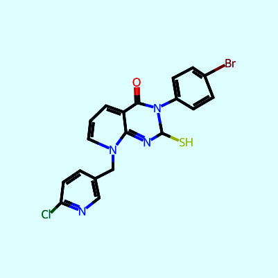 O=C1C2=CC=CN(Cc3ccc(Cl)nc3)C2=NC(S)N1c1ccc(Br)cc1